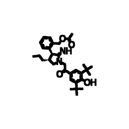 CCC[C@H]1CN(CC(=O)c2cc(C(C)(C)C)c(O)c(C(C)(C)C)c2)C(=N)[C@@H]1c1ccccc1COC(C)=O